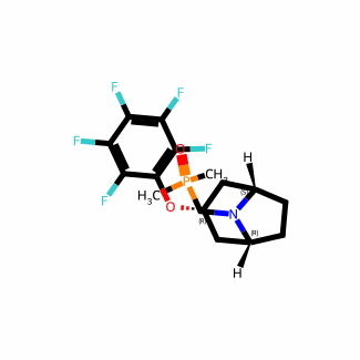 CP(C)(=O)CN1[C@@H]2CC[C@H]1C[C@@H](Oc1c(F)c(F)c(F)c(F)c1F)C2